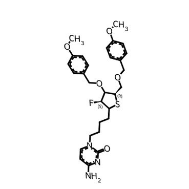 COc1ccc(COC[C@H]2SC(CCCCn3ccc(N)nc3=O)[C@@H](F)C2OCc2ccc(OC)cc2)cc1